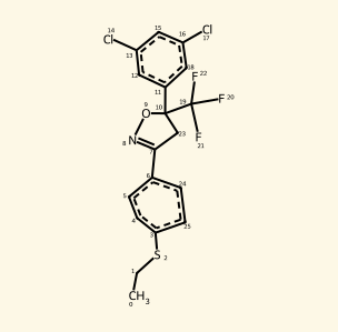 CCSc1ccc(C2=NOC(c3cc(Cl)cc(Cl)c3)(C(F)(F)F)C2)cc1